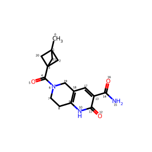 CC12CC(C(=O)N3CCc4[nH]c(=O)c(C(N)=O)cc4C3)(C1)C2